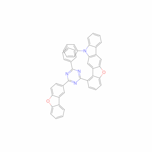 c1ccc(-c2nc(-c3ccc4oc5ccccc5c4c3)nc(-c3cccc4oc5cc6c7ccccc7n(-c7ccccc7)c6cc5c34)n2)cc1